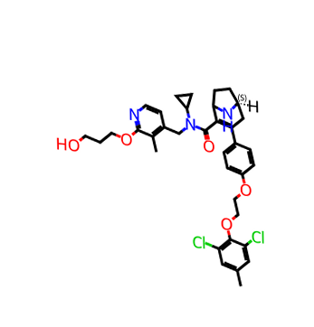 Cc1cc(Cl)c(OCCOc2ccc(C3=C(C(=O)N(Cc4ccnc(OCCCO)c4C)C4CC4)C4CC[C@@H](C3)N4)cc2)c(Cl)c1